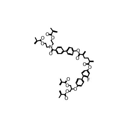 C=C(C)C(=O)OCCN(CCOC(=O)C(=C)C)C(=O)c1ccc(-c2ccc(OC(=O)C(=C)CCC(=C)C(=O)Oc3ccc(-c4ccc(OC(COC(=O)C(=C)C)COC(=O)C(=C)C)cc4)c(F)c3)cc2)cc1